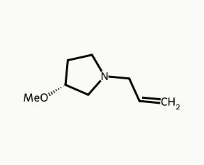 C=CCN1CC[C@@H](OC)C1